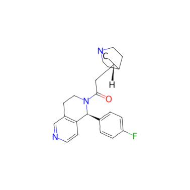 O=C(C[C@@H]1CN2CCC1CC2)N1CCc2cnccc2[C@@H]1c1ccc(F)cc1